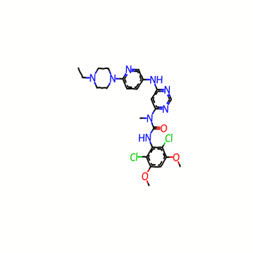 CCN1CCN(c2ccc(Nc3cc(N(C)C(=O)Nc4c(Cl)c(OC)cc(OC)c4Cl)ncn3)cn2)CC1